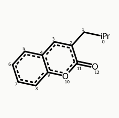 CC(C)Cc1cc2ccccc2oc1=O